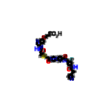 CN1CC/C(=N\NC(=O)CC(C)(C)SSCCC(=O)N2CCN(c3ccc(C(=O)NCc4ccc(NC(=O)C5CC5c5cccnc5)cc4F)cc3)CC2)c2ccc(OCCCC(=O)O)cc21